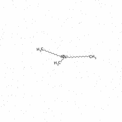 CCCCCCCCCCCCCCCCC[n+]1ccn(CCCCCCCCCCCCCC)c1CCCC